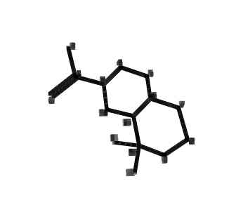 C=C(C)C1CCC2CCCC(C)(C)C2C1